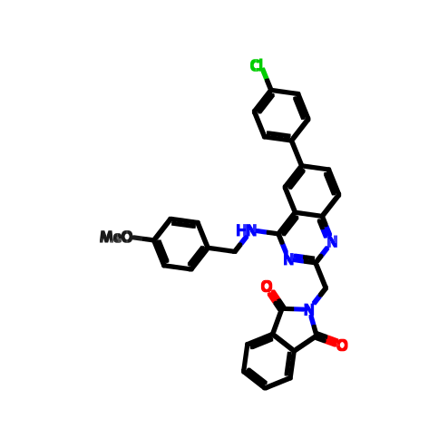 COc1ccc(CNc2nc(CN3C(=O)c4ccccc4C3=O)nc3ccc(-c4ccc(Cl)cc4)cc23)cc1